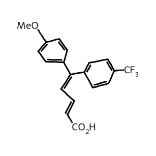 COc1ccc(/C(=C/C=C/C(=O)O)c2ccc(C(F)(F)F)cc2)cc1